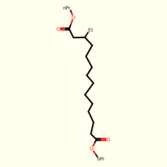 CCCOC(=O)CCCCCCCCCCC(CC)CC(=O)OCCC